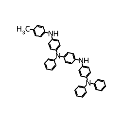 Cc1ccc(Nc2ccc(N(c3ccccc3)c3ccc(Nc4ccc(N(c5ccccc5)c5ccccc5)cc4)cc3)cc2)cc1